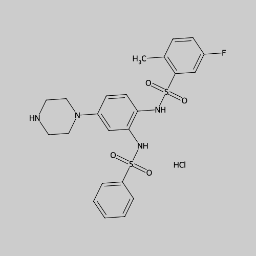 Cc1ccc(F)cc1S(=O)(=O)Nc1ccc(N2CCNCC2)cc1NS(=O)(=O)c1ccccc1.Cl